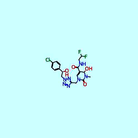 CN1C(=O)N(Cc2nnn(C[C@H](O)c3ccc(Cl)cc3)n2)C=C(C(=O)NCC(F)F)C1O